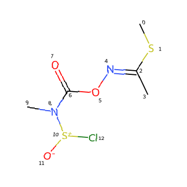 CSC(C)=NOC(=O)N(C)[S+]([O-])Cl